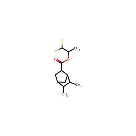 CC(OC(=O)C1CC2CC1C(C)C2C)C(F)F